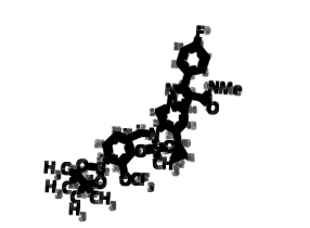 CNC(=O)c1c(-c2ccc(F)cc2)nn2cc(N(Cc3ccc(B4OC(C)(C)C(C)(C)O4)c(OC(F)(F)F)c3)S(C)(=O)=O)c(C3CC3)cc12